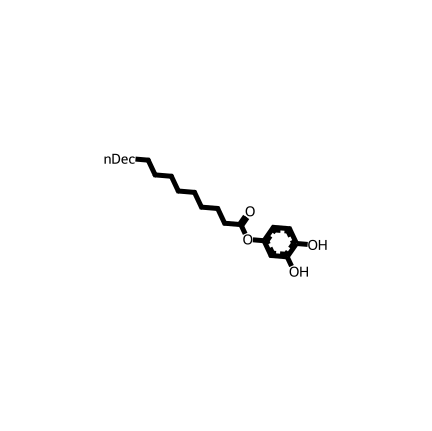 CCCCCCCCCCCCCCCCCCC(=O)Oc1ccc(O)c(O)c1